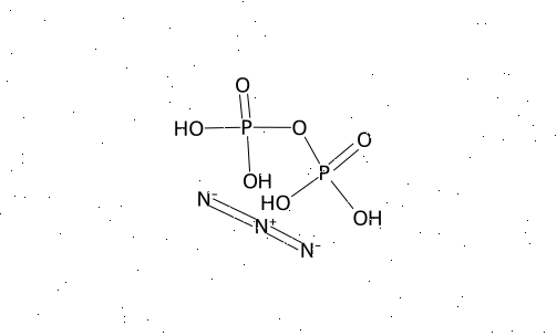 O=P(O)(O)OP(=O)(O)O.[N-]=[N+]=[N-]